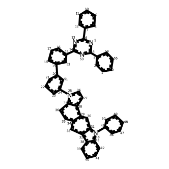 c1ccc(-c2nc(-c3ccccc3)nc(-c3cccc(-c4cccc(-n5ccc6c7cc8c(cc7ccc65)c5ccccc5n8-c5ccccc5)c4)c3)n2)cc1